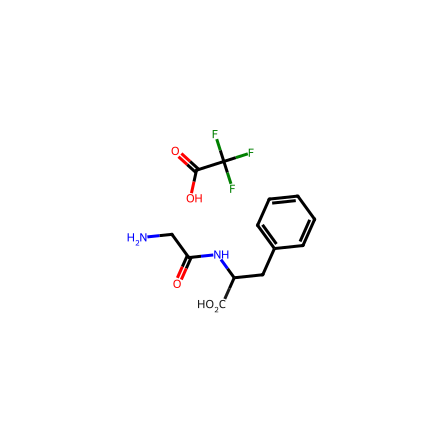 NCC(=O)NC(Cc1ccccc1)C(=O)O.O=C(O)C(F)(F)F